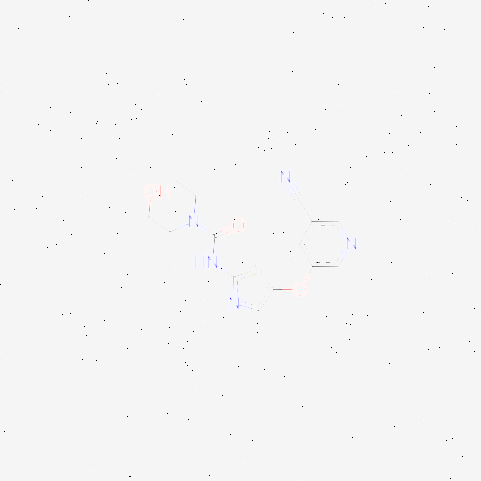 CCN(C[C@H](C)O)C(=O)Nc1ncc(Oc2cncc(C#N)c2)s1